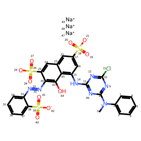 CN(c1ccccc1)c1nc(Cl)nc(Nc2cc(S(=O)(=O)[O-])cc3cc(S(=O)(=O)[O-])c(N=Nc4ccccc4S(=O)(=O)[O-])c(O)c23)n1.[Na+].[Na+].[Na+]